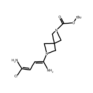 CC(C)(C)OC(=O)N1CC2(C1)CN(/C(N)=C/C=C(\N)Cl)C2